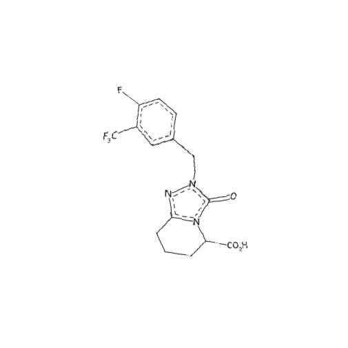 O=C(O)C1CCCc2nn(Cc3ccc(F)c(C(F)(F)F)c3)c(=O)n21